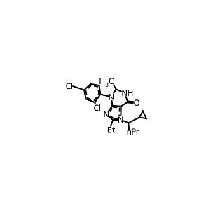 CCCC(C1CC1)n1c(CC)nc2c1C(=O)NC(C)N2c1ccc(Cl)cc1Cl